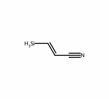 N#CC=C[SiH3]